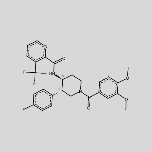 COc1cc(C(=O)N2CC[C@H](NC(=O)c3ncccc3C(F)(F)F)[C@@H](c3ccc(F)cc3)C2)cnc1OC